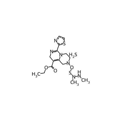 CCOC(=O)C1=C2CN(OSN(C)NC)CCN2C(c2nccs2)=NC1.S